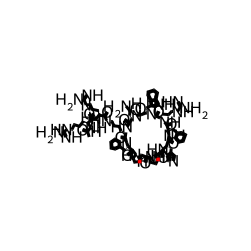 CC(=O)N[C@@H](CCCCNC(=N)N)C(=O)N[C@@H](CCCNC(=N)N)C(=O)NCCCC[C@@H]1NC(=O)[C@H](CC(N)=O)NC(=O)[C@H](Cc2c[nH]c3ccccc23)NC(=O)[C@H](CCCNC(=N)N)NC(=O)[C@@H](Cc2ccccc2)NC(=O)[C@H](Cc2cnc[nH]2)NC(=O)[C@@H]2CCCN2C(=O)[C@H]2CCCN2C(=O)[C@H](Cc2ccccc2)NC1=O